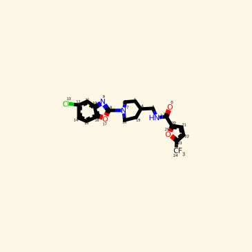 O=C(NCC1CCN(c2nc3cc(Cl)ccc3o2)CC1)c1ccc(C(F)(F)F)o1